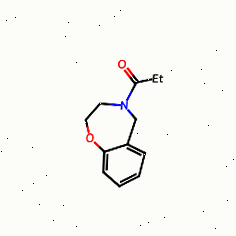 CCC(=O)N1CCOc2ccccc2C1